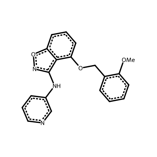 COc1ccccc1COc1cccc2onc(Nc3cccnc3)c12